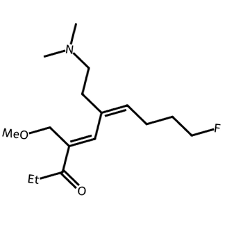 CCC(=O)/C(=C/C(=C\CCCF)CCN(C)C)COC